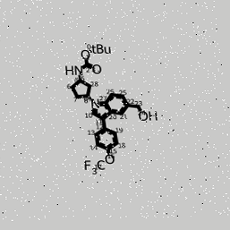 CC(C)(C)OC(=O)N[C@@H]1CC[C@H](n2cc(-c3ccc(OC(F)(F)F)cc3)c3cc(CO)ccc32)C1